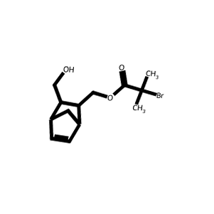 CC(C)(Br)C(=O)OCC1C2C=CC(C2)C1CO